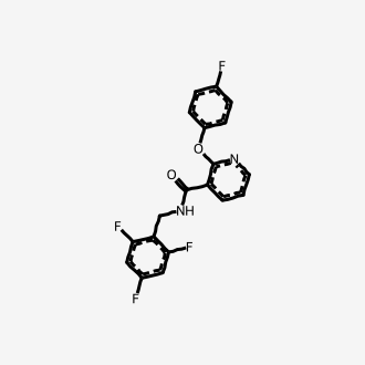 O=C(NCc1c(F)cc(F)cc1F)c1cccnc1Oc1ccc(F)cc1